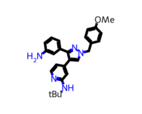 COc1ccc(Cn2cc(-c3ccnc(NC(C)(C)C)c3)c(-c3cccc(N)c3)n2)cc1